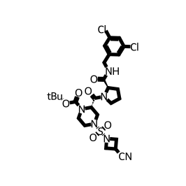 CC(C)(C)OC(=O)N1CCN(S(=O)(=O)N2CC(C#N)C2)C[C@H]1C(=O)N1CCC[C@@H]1C(=O)NCc1cc(Cl)cc(Cl)c1